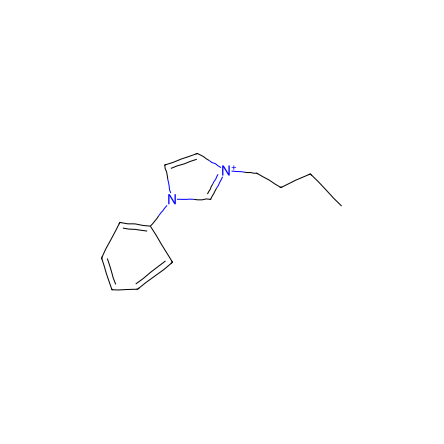 CCCC[n+]1ccn(-c2ccccc2)c1